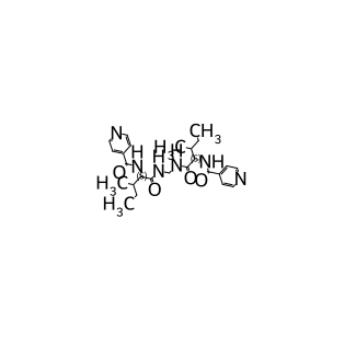 CCC(C)[C@H](NC(=O)c1ccncc1)C(=O)NCNC(=O)[C@@H](NC(=O)c1ccncc1)C(C)CC